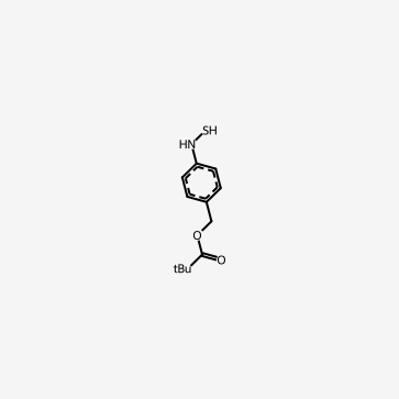 CC(C)(C)C(=O)OCc1ccc(NS)cc1